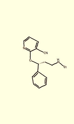 CCNCC[C@@H](Oc1ncccc1C#N)c1ccccc1